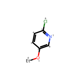 CCOc1ccc(Cl)nc1